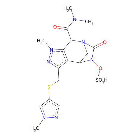 CN(C)C(=O)C1c2c(c(CSc3cnn(C)c3)nn2C)C2CN1C(=O)N2OS(=O)(=O)O